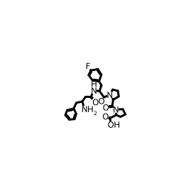 NC(CC(=O)NC(Cc1ccc(F)cc1)C(=O)N1CCCC1C(=O)N1CCCC1C(=O)O)Cc1ccccc1